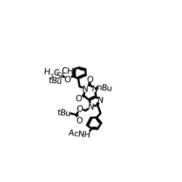 CCCCn1c(=O)n(Cc2ccccc2O[Si](C)(C)C(C)(C)C)c(=O)c2c1nc(Cc1ccc(NC(C)=O)cc1)n2COC(=O)C(C)(C)C